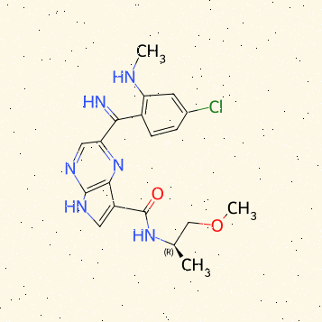 CNc1cc(Cl)ccc1C(=N)c1cnc2[nH]cc(C(=O)N[C@H](C)COC)c2n1